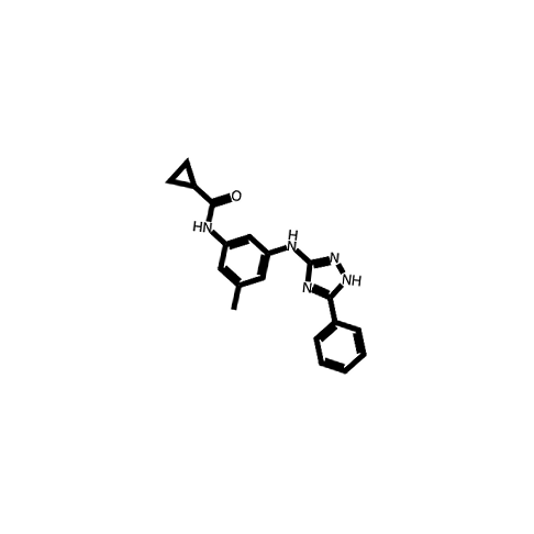 Cc1cc(NC(=O)C2CC2)cc(Nc2n[nH]c(-c3ccccc3)n2)c1